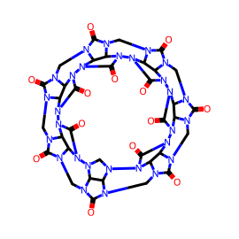 O=C1N2CN3C(=O)N4CN5C(=O)N6CN7C(=O)N8CN9C(=O)N%10CN%11C(=O)N%12CN%13C(=O)N%14CN1C1C2N2CN1N1C(=O)N(C%13C%141)N1C(=O)N(C%11C%121)N1C(=O)N(C9C%101)N1C(=O)N(C7C81)N1C(=O)N(C5C61)N1C(=O)N2C3C41